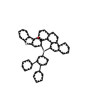 c1ccc(-c2ccc(N(c3ccc4c(c3)oc3ccccc34)c3cc4ccccc4c4ccc5ccccc5c34)cc2-c2ccccc2)cc1